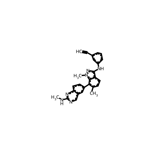 C#Cc1cccc(Nc2nn(C)c3c(-c4ccc5nc(NC)ncc5c4)c(C)ccc23)c1